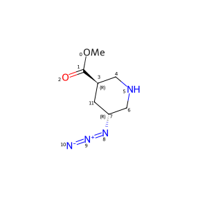 COC(=O)[C@H]1CNC[C@H](N=[N+]=[N-])C1